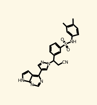 Cc1ccc(NS(=O)(=O)c2cccc(C(CC#N)n3cc(-c4ncnc5[nH]ccc45)cn3)c2)cc1C